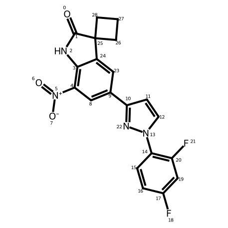 O=C1Nc2c([N+](=O)[O-])cc(-c3ccn(-c4ccc(F)cc4F)n3)cc2C12CCC2